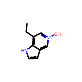 CCc1c[n+](O)cc2cc[nH]c12